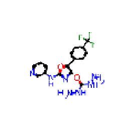 FC(F)(F)c1ccc(-c2cnc(Nc3cccnc3)o2)cc1.NNC(=O)NN